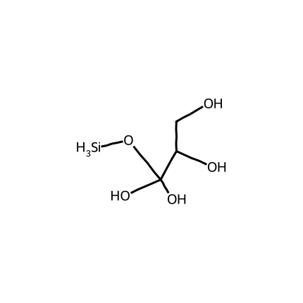 OCC(O)C(O)(O)O[SiH3]